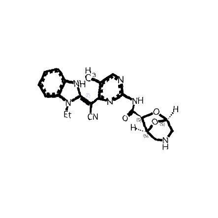 CCN1/C(=C(\C#N)c2nc(NC(=O)[C@H]3O[C@H]4CNC[C@@H]3O4)ncc2C)Nc2ccccc21